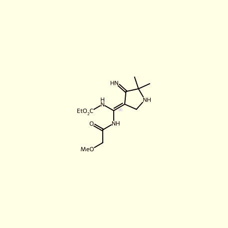 CCOC(=O)N/C(NC(=O)COC)=C1/CNC(C)(C)C1=N